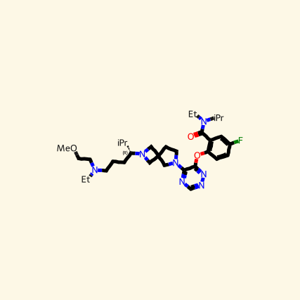 CCN(CCC[C@H](C(C)C)N1CC2(CCN(c3ncnnc3Oc3ccc(F)cc3C(=O)N(CC)C(C)C)C2)C1)CCOC